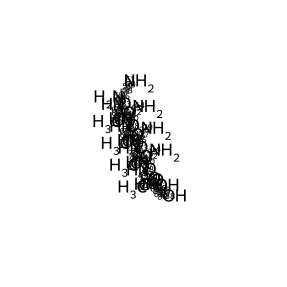 COc1ccc(NC(=O)[C@H](CCCCN)NC(=O)c2cc(NC(=O)[C@H](CCCCN)NC(=O)c3cc(NC(=O)[C@H](CCCCN)NC(=O)c4cc(NC(=O)[C@@H](N)CCCCCN)ccc4OC)ccc3OC)ccc2OC)cc1C(=O)N[C@@H](Cc1ccc(O)cc1)C(=O)O